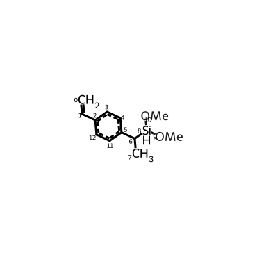 C=Cc1ccc(C(C)[SiH](OC)OC)cc1